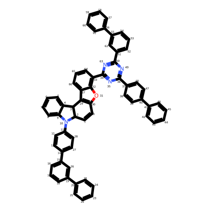 C1=CC2C(c3ccccc3N2c2ccc(-c3cccc(-c4ccccc4)c3)cc2)c2c1oc1c(-c3nc(-c4ccc(-c5ccccc5)cc4)nc(-c4cccc(-c5ccccc5)c4)n3)cccc21